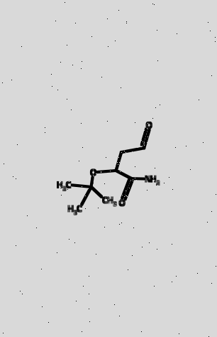 CC(C)(C)OC(CC=O)C(N)=O